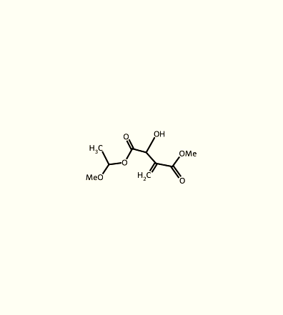 C=C(C(=O)OC)C(O)C(=O)OC(C)OC